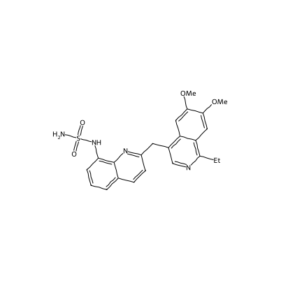 CCc1ncc(Cc2ccc3cccc(NS(N)(=O)=O)c3n2)c2cc(OC)c(OC)cc12